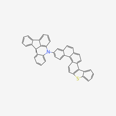 CC12c3ccccc3-c3cccc(c31)N(c1ccc3c(ccc4ccc5c(ccc6sc7ccccc7c65)c43)c1)c1ccccc12